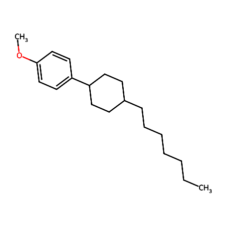 CCCCCCCC1CCC(c2ccc(OC)cc2)CC1